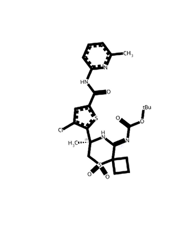 Cc1cccc(NC(=O)c2cc(Cl)c([C@]3(C)CS(=O)(=O)C4(CCC4)/C(=N/C(=O)OC(C)(C)C)N3)s2)n1